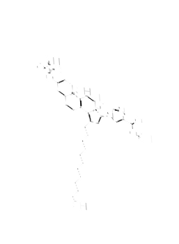 CCCCCCCCCCCCC1=C2C3=C(C=C[C@]2(C)C(n2cnc(C(=O)OC)c2)=C1)[C@]1(C)CC=C(OS(C)(=O)=O)C=C1C=C3